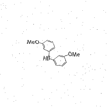 COc1cccc(Bc2cccc(OC)c2)c1